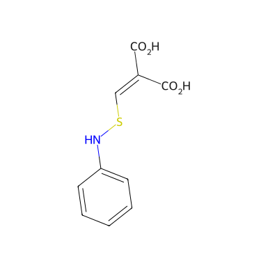 O=C(O)C(=CSNc1ccccc1)C(=O)O